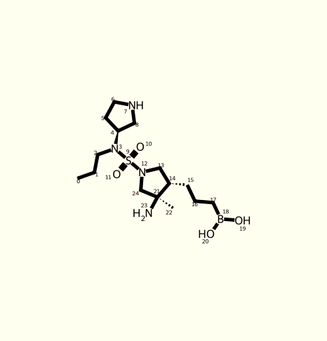 CCCN([C@H]1CCNC1)S(=O)(=O)N1C[C@H](CCCB(O)O)[C@@](C)(N)C1